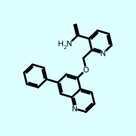 C=C(N)c1cccnc1COc1cc(-c2ccccc2)cc2ncccc12